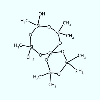 C[Si]1(C)O[Si](C)(C)O[Si]2(O1)O[Si](C)(C)O[Si](C)(O)O[Si](C)(C)O2